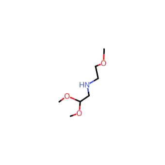 COCCNCC(OC)OC